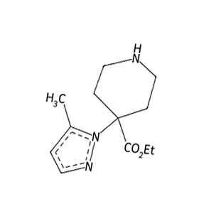 CCOC(=O)C1(n2nccc2C)CCNCC1